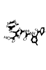 Cc1ccc(NC(=O)Nc2nc(C(=O)O)c(Sc3nnnn3C)s2)c(C(=O)C2CCCC2)c1